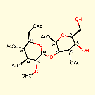 CC(=O)OC[C@H]1O[C@H](O[C@@H]2[C@@H](OC(C)=O)O[C@@H](CO)[C@@H](O)[C@@H]2OC(C)=O)[C@@H](OC=O)[C@@H](OC(C)=O)[C@@H]1OC(C)=O